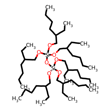 CCCCC(CC)CO[Si](OCC(CC)CCCC)(OCC(CC)CCCC)O[Si](OCC(CC)CCCC)(OCC(CC)CCCC)OCC(CC)CCCC